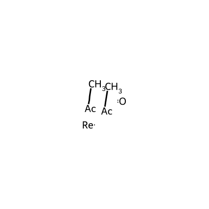 CC(C)=O.CC(C)=O.[O].[Re]